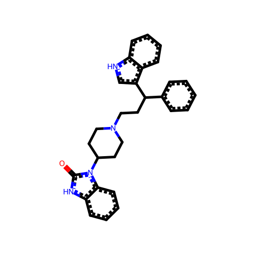 O=c1[nH]c2ccccc2n1C1CCN(CCC(c2ccccc2)c2c[nH]c3ccccc23)CC1